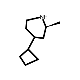 C[C@H]1CC(C2CCC2)CCN1